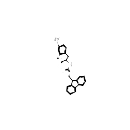 COC(=O)C(Cc1ccc(N=O)cc1)NC(=O)OCC1c2ccccc2-c2ccccc21